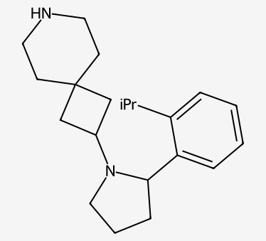 CC(C)c1ccccc1C1CCCN1C1CC2(CCNCC2)C1